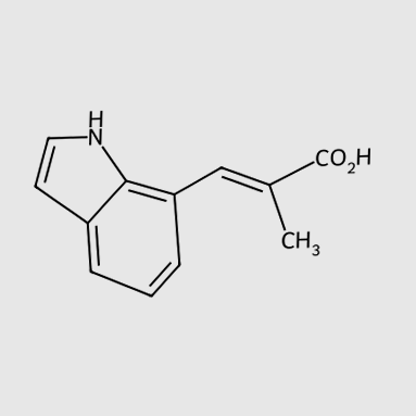 C/C(=C\c1cccc2cc[nH]c12)C(=O)O